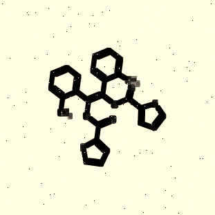 Cc1ccccc1C(OC(=O)c1cccs1)=C(OC(=O)c1cccs1)c1ccccc1C